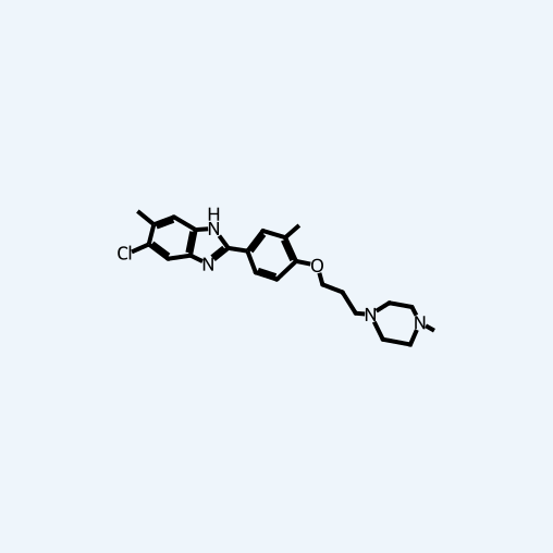 Cc1cc2[nH]c(-c3ccc(OCCCN4CCN(C)CC4)c(C)c3)nc2cc1Cl